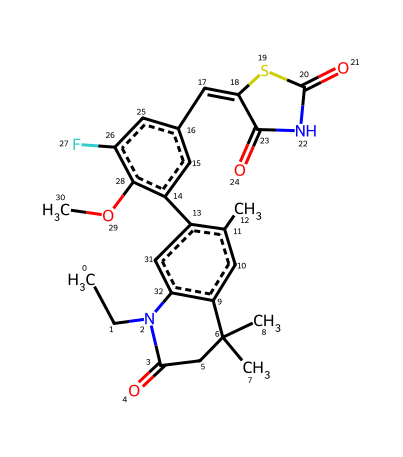 CCN1C(=O)CC(C)(C)c2cc(C)c(-c3cc(C=C4SC(=O)NC4=O)cc(F)c3OC)cc21